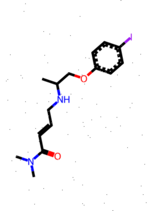 CC(COc1ccc(I)cc1)NCC=CC(=O)N(C)C